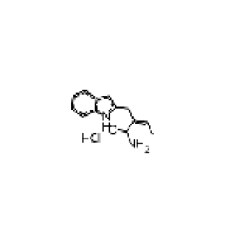 CC=C(Cc1cc2ccccc2[nH]1)C(N)=O.Cl